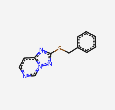 c1ccc(CSc2nc3ccncn3n2)cc1